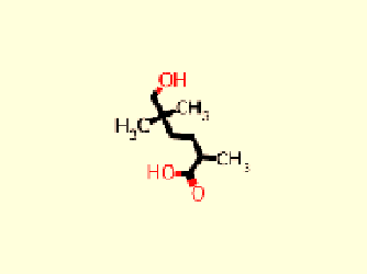 CC(CCC(C)(C)CO)C(=O)O